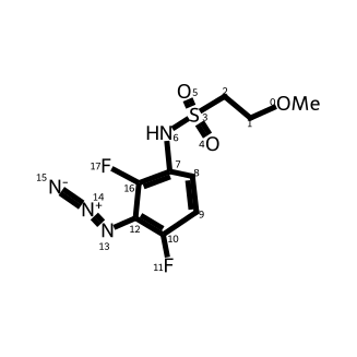 COCCS(=O)(=O)Nc1ccc(F)c(N=[N+]=[N-])c1F